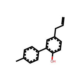 C=CCc1ccc(O)c(-c2ccc(C)cc2)c1